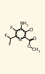 COC(=O)c1nc(C(F)F)c(F)c(N)c1Cl